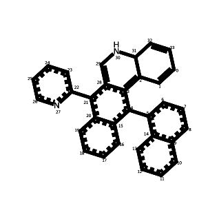 C1=CC2=c3c(-c4cccc5ccccc45)c4ccccc4c(-c4ccccn4)c3=CNC2C=C1